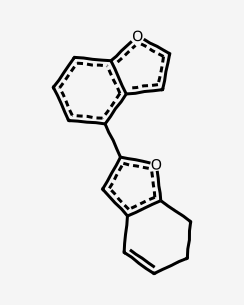 C1=Cc2cc(-c3cccc4occc34)oc2CC1